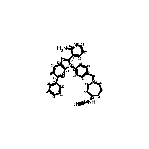 N#CNC1CCCN(Cc2ccc(-n3c(-c4cccnc4N)nc4ccc(-c5ccccc5)nc43)cc2)CC1